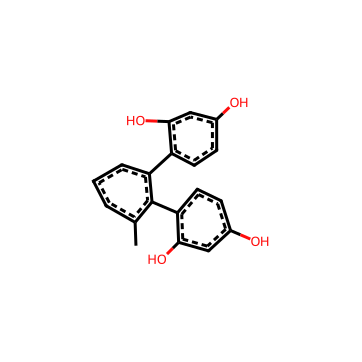 Cc1cccc(-c2ccc(O)cc2O)c1-c1ccc(O)cc1O